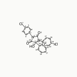 O=C1N(c2ccc(Cl)cc2)C(=O)C(O)(c2ccccc2)N1c1ccc(Cl)cc1